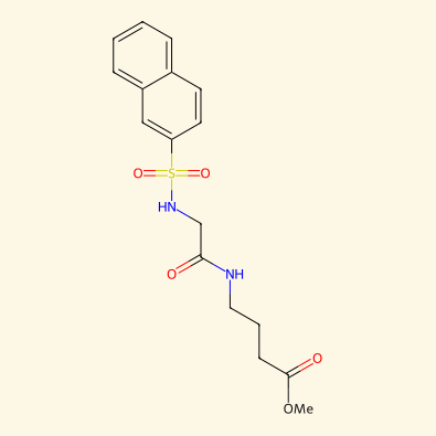 COC(=O)CCCNC(=O)CNS(=O)(=O)c1ccc2ccccc2c1